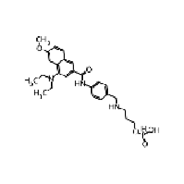 CCN(CC)c1cc(C(=O)Nc2ccc(CNCCCO[PH](=O)O)cc2)cc2ccc(OC)cc12